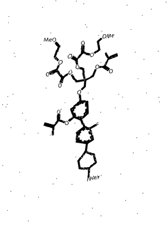 C=C(C)C(=O)OCC(COC(=O)C(=O)OCCOC)(COC(=O)C(=O)OCCOC)COc1ccc(-c2ccc(C3CCC(CCCCCC)CC3)cc2F)c(OC(=O)C(=C)C)c1